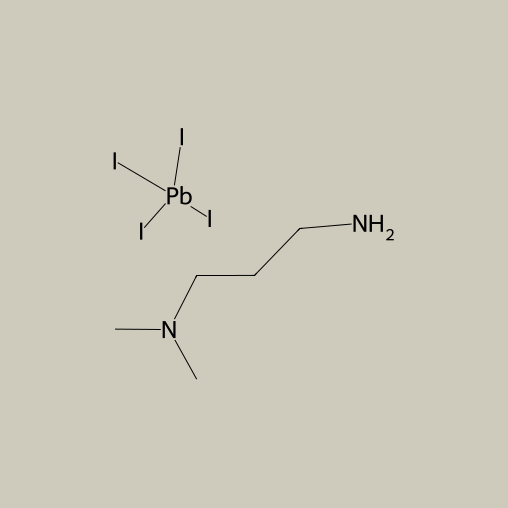 CN(C)CCCN.[I][Pb]([I])([I])[I]